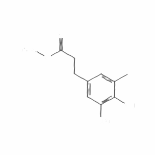 CCCCCCCCCOC(=O)CCc1cc(C)c(O)c(C(C)(C)C)c1